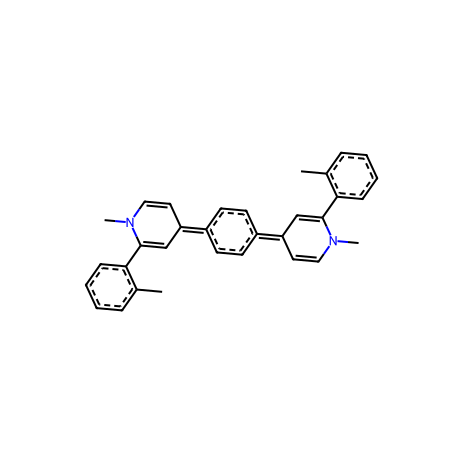 Cc1ccccc1C1=CC(=c2ccc(=C3C=CN(C)C(c4ccccc4C)=C3)cc2)C=CN1C